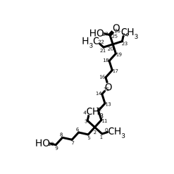 CCC(CC)(CCCCCO)CCCCOCCCCC(CC)(CC)C(=O)O